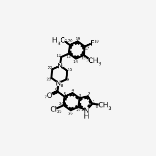 Cc1cc2cc(C(=O)N3CCN(Cc4cc(C)c(F)cc4C)CC3)c(Cl)cc2[nH]1